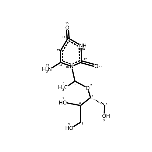 CC(O[C@H](CO)C(O)CO)n1c(N)cc(=O)[nH]c1=O